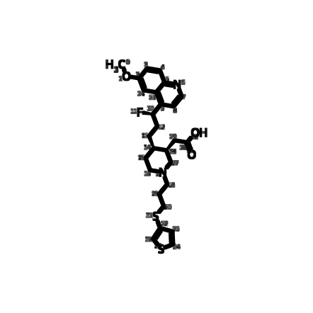 COc1ccc2nccc([C@H](F)CC[C@@H]3CCN(CCCSc4ccsc4)C[C@@H]3CC(=O)O)c2c1